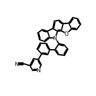 N#Cc1cncc(-c2cccc(-c3ccccc3-n3c4ccccc4c4ccc5c6ccccc6oc5c43)c2)c1